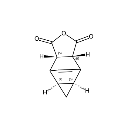 O=C1OC(=O)[C@H]2C3C=CC([C@H]4C[C@@H]34)[C@@H]12